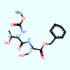 C[C@H](O)[C@H](NC(=O)OC(C)(C)C)C(=O)N[C@@H](CO)C(=O)OCc1ccccc1